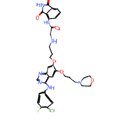 O=C(CNCCCOc1cc2ncnc(Nc3ccc(F)c(Cl)c3)c2cc1OCCCN1CCOCC1)Nc1cccc2c1C(=O)NC2=O